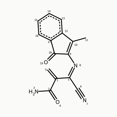 C=C(C(N)=O)/C(C#N)=N\C1=C(C)c2ccccc2C1=O